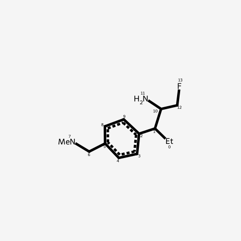 CCC(c1ccc(CNC)cc1)C(N)CF